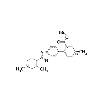 CC1CN(C)CCC1c1nc2cc(C3=CC[C@H](C)CN3C(=O)OC(C)(C)C)ccc2s1